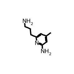 Cc1cc(N)nc(CCCN)c1